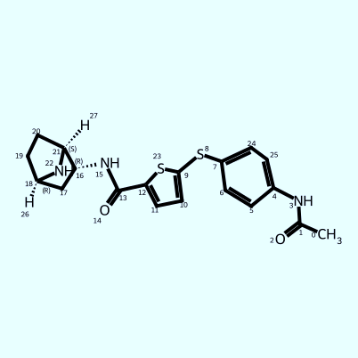 CC(=O)Nc1ccc(Sc2ccc(C(=O)N[C@@H]3C[C@H]4CC[C@@H]3N4)s2)cc1